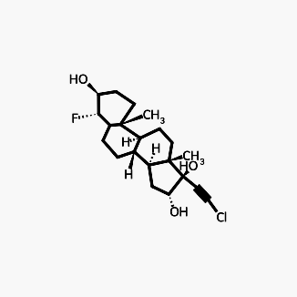 C[C@]12CC[C@H](O)[C@@H](F)C1CC[C@@H]1[C@@H]2CC[C@@]2(C)[C@H]1C[C@@H](O)[C@@]2(O)C#CCl